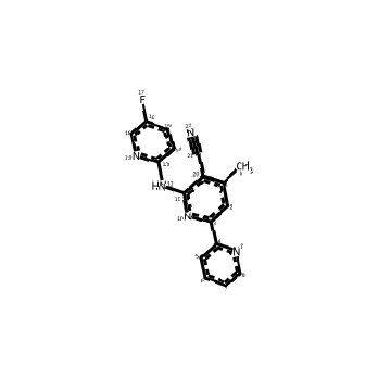 Cc1cc(-c2ccccn2)nc(Nc2ccc(F)cn2)c1C#N